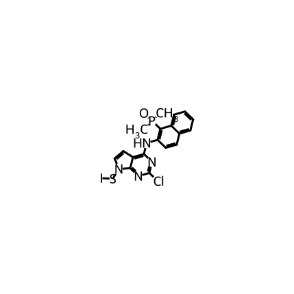 CP(C)(=O)c1c(Nc2nc(Cl)nc3c2ccn3SI)ccc2ccccc12